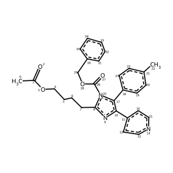 CC(=O)OCCCCc1nc(-c2ccncc2)c(-c2ccc(C)cc2)n1C(=O)OCc1ccccc1